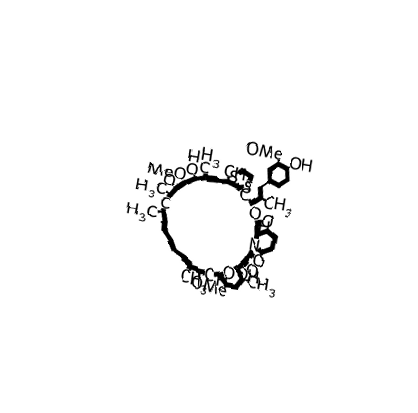 CO[C@H]1C[C@@H]2CC[C@@H](C)[C@@](O)(O2)C(=O)C(=O)N2CCCC[C@H]2C(=O)O[C@H]([C@H](C)C[C@@H]2CC[C@@H](O)[C@H](OC)C2)CC2(SCCS2)[C@H](C)/C=C(\C)[C@@H](O)[C@@H](OC)C(=O)[C@H](C)C[C@H](C)/C=C/C=C/C=C/1C